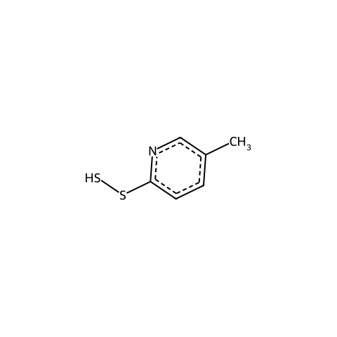 Cc1ccc(SS)nc1